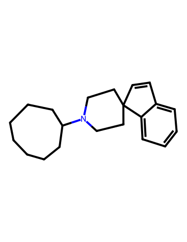 C1=CC2(CCN(C3CCCCCCC3)CC2)c2ccccc21